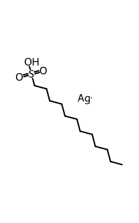 CCCCCCCCCCCCS(=O)(=O)O.[Ag]